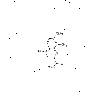 COC(=O)c1cc(O)c2ccc(OC)c(C)c2n1